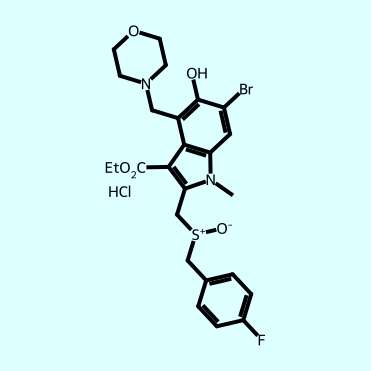 CCOC(=O)c1c(C[S+]([O-])Cc2ccc(F)cc2)n(C)c2cc(Br)c(O)c(CN3CCOCC3)c12.Cl